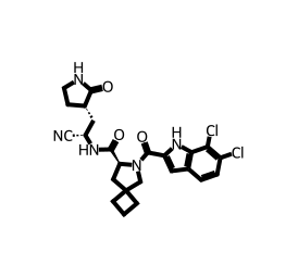 N#C[C@H](C[C@@H]1CCNC1=O)NC(=O)[C@@H]1CC2(CCC2)CN1C(=O)c1cc2ccc(Cl)c(Cl)c2[nH]1